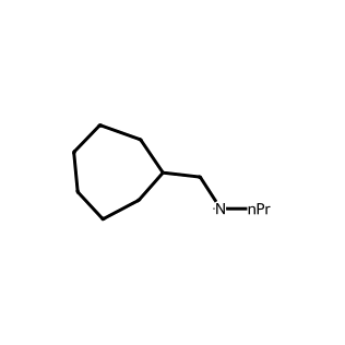 CCC[N]CC1CCCCCC1